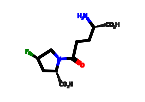 N[C@@H](CCC(=O)N1C[C@H](F)C[C@H]1C(=O)O)C(=O)O